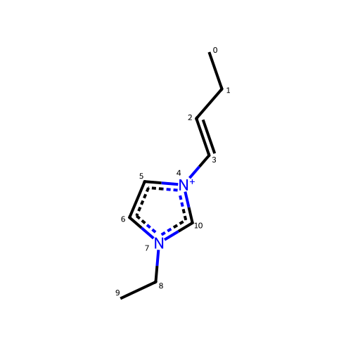 CC/C=C/[n+]1ccn(CC)c1